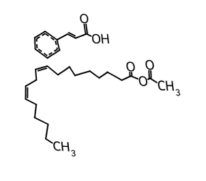 CCCCC/C=C\C/C=C\CCCCCCCC(=O)OC(C)=O.O=C(O)C=Cc1ccccc1